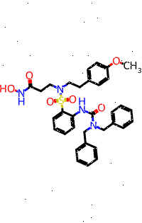 COc1ccc(CCN(CCC(=O)NO)S(=O)(=O)c2ccccc2NC(=O)N(Cc2ccccc2)Cc2ccccc2)cc1